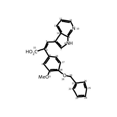 COc1cc(C(=Cc2c[nH]c3ncccc23)C(=O)O)ccc1OCc1ccccc1